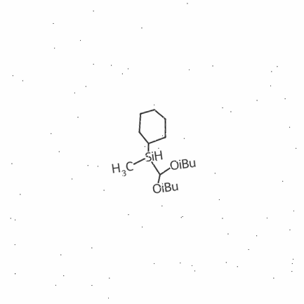 CC(C)COC(OCC(C)C)[SiH](C)C1CCCCC1